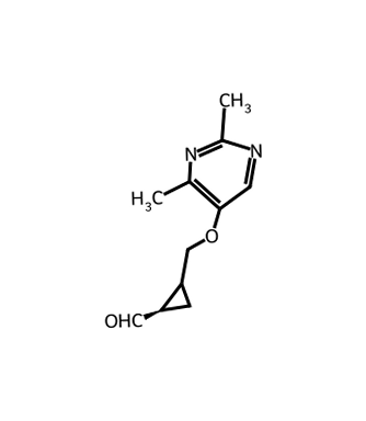 Cc1ncc(OCC2C[C@H]2C=O)c(C)n1